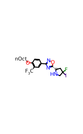 CCCCCCCCOc1ccc(-c2noc([C@@H]3CC(F)(I)CN3)n2)cc1C(F)(F)F